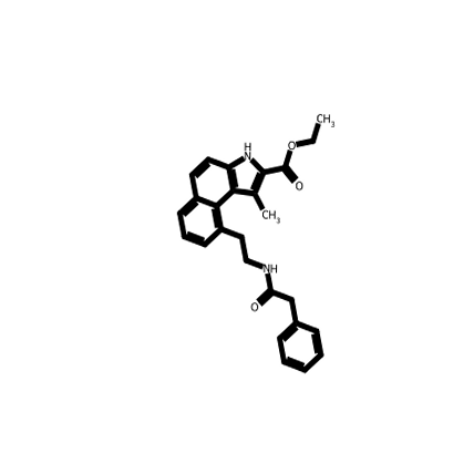 CCOC(=O)c1[nH]c2ccc3cccc(CCNC(=O)Cc4ccccc4)c3c2c1C